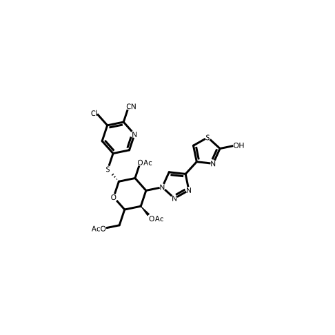 CC(=O)OCC1O[C@H](Sc2cnc(C#N)c(Cl)c2)C(OC(C)=O)C(n2cc(-c3csc(O)n3)nn2)[C@H]1OC(C)=O